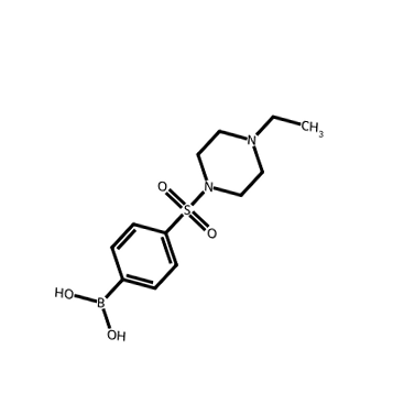 CCN1CCN(S(=O)(=O)c2ccc(B(O)O)cc2)CC1